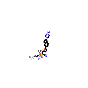 COCCNS(=O)(=O)/C(C#N)=C(\C)c1ccc(-c2ccc3cc(N4CCN(C)CC4)ccc3c2)o1